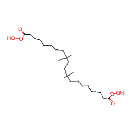 CC(C)(CCCCCCCC(=O)OO)CCC(C)(C)CCCCCCCC(=O)OO